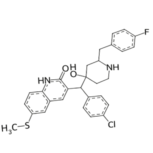 CSc1ccc2[nH]c(=O)c(C(c3ccc(Cl)cc3)C3(O)CCNC(Cc4ccc(F)cc4)C3)cc2c1